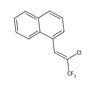 FC(F)(F)C(Cl)=Cc1cccc2ccccc12